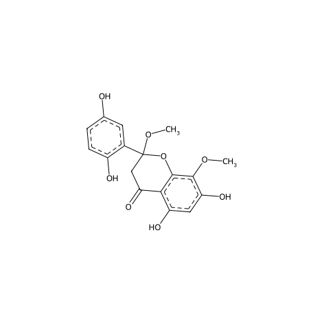 COc1c(O)cc(O)c2c1OC(OC)(c1cc(O)ccc1O)CC2=O